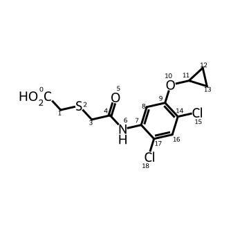 O=C(O)CSCC(=O)Nc1cc(OC2CC2)c(Cl)cc1Cl